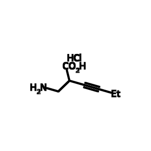 CCC#CC(CN)C(=O)O.Cl